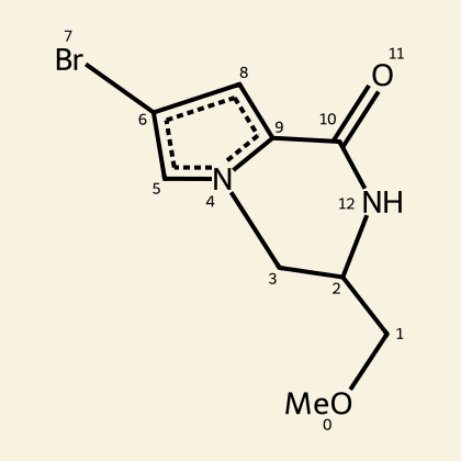 COCC1Cn2cc(Br)cc2C(=O)N1